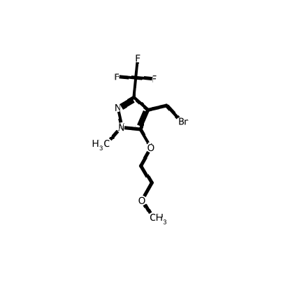 COCCOc1c(CBr)c(C(F)(F)F)nn1C